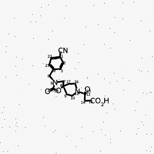 N#Cc1ccc(CN2CC3(CCN(C(=O)CC(=O)O)CC3)OC2=O)cc1